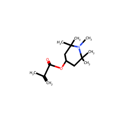 C=C(C)C(=O)OC1CC(C)(C)N(C)C(C)(C)C1